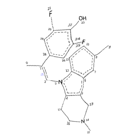 C/C(=C/n1c2c(c3cc(C)ccc31)CN(C)CC2)c1cc(F)c(O)c(F)c1